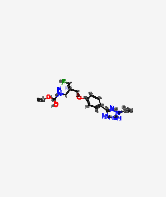 CC(C)(C)OC(=O)NC/C(=C\F)COc1ccc(C2=NN(C(C)(C)C)NN2)cc1